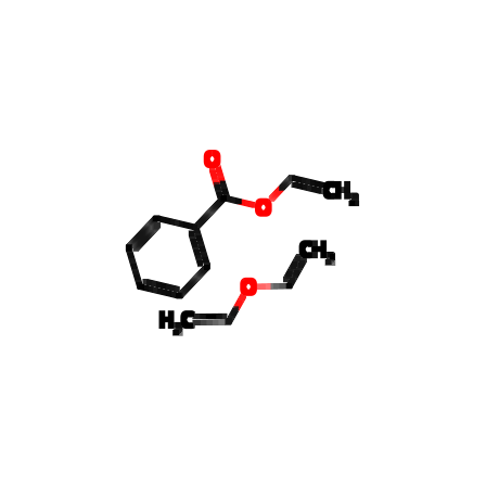 C=COC(=O)c1ccccc1.C=COC=C